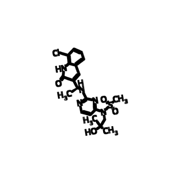 C[C@H](Nc1nccc(N(CC(C)(C)O)S(C)(=O)=O)n1)c1cc2cccc(Cl)c2[nH]c1=O